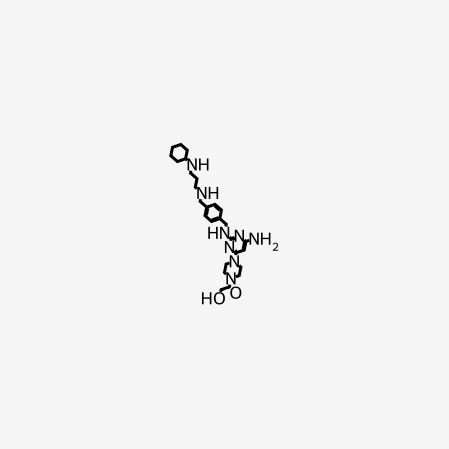 Nc1cc(N2CCN(C(=O)CO)CC2)nc(NCc2ccc(CNCCCNC3CCCCC3)cc2)n1